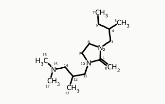 C=C1N(CC(C)CC)CCN1CC(C)CN(C)C